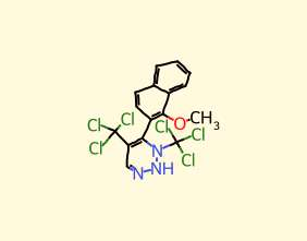 COc1c(C2=C(C(Cl)(Cl)Cl)C=NNN2C(Cl)(Cl)Cl)ccc2ccccc12